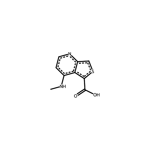 CNc1ccnc2csc(C(=O)O)c12